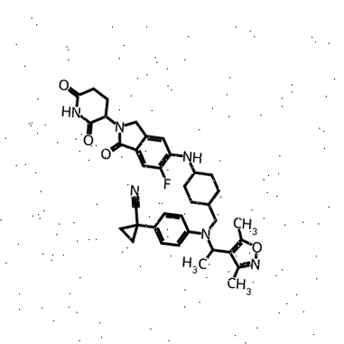 Cc1noc(C)c1C(C)N(CC1CCC(Nc2cc3c(cc2F)C(=O)N(C2CCC(=O)NC2=O)C3)CC1)c1ccc(C2(C#N)CC2)cc1